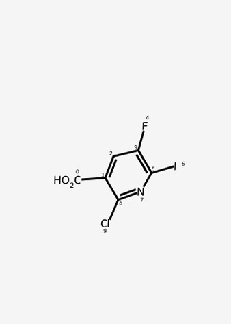 O=C(O)c1cc(F)c(I)nc1Cl